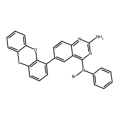 Nc1nc(N(Br)c2ccccc2)c2cc(-c3cccc4c3Oc3ccccc3S4)ccc2n1